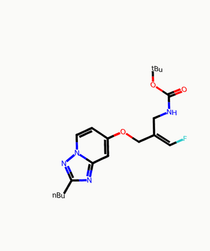 CCCCc1nc2cc(OCC(=CF)CNC(=O)OC(C)(C)C)ccn2n1